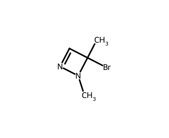 CN1N=CC1(C)Br